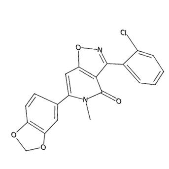 Cn1c(-c2ccc3c(c2)OCO3)cc2onc(-c3ccccc3Cl)c2c1=O